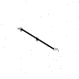 CCCCCCCCC=CCCCCCCCCCCCCCC(=O)OCCCCCCCCCCCCCCCCCCCCC(=O)O